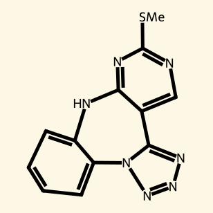 CSc1ncc2c(n1)Nc1ccccc1-n1nnnc1-2